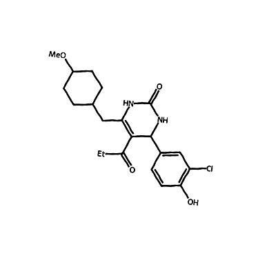 CCC(=O)C1=C(CC2CCC(OC)CC2)NC(=O)NC1c1ccc(O)c(Cl)c1